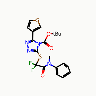 CN(C(=O)C(F)(F)Sc1nnc(-c2ccsc2)n1C(=O)OC(C)(C)C)c1ccccc1